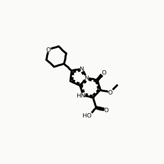 COc1c(C(=O)O)[nH]c2cc(C3CCOCC3)nn2c1=O